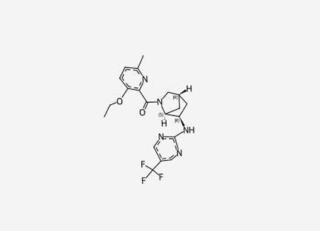 CCOc1ccc(C)nc1C(=O)N1C[C@@H]2C[C@@H](Nc3ncc(C(F)(F)F)cn3)[C@@H]1C2